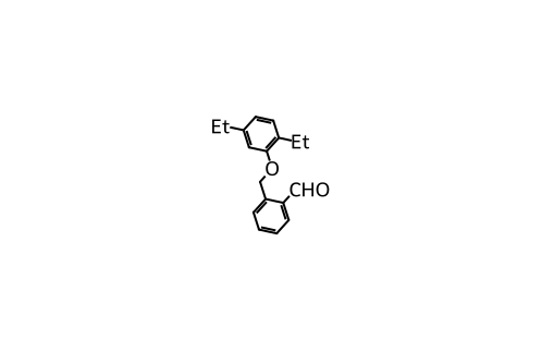 CCc1ccc(CC)c(OCc2ccccc2C=O)c1